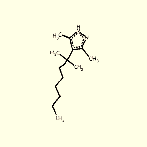 CCCCCCC(C)(C)c1c(C)n[nH]c1C